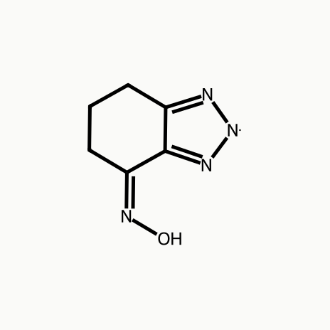 O/N=C1/CCCC2=N[N]N=C21